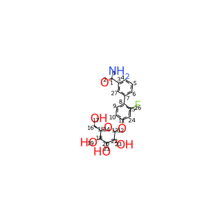 NC(=O)c1cccc(-c2ccc(OC3O[C@H](CO)C(O)[C@H](O)[C@@H]3O)cc2F)c1